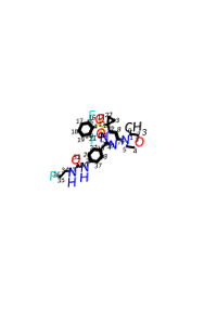 C[C@H]1COCCN1c1cc(C2(S(=O)(=O)c3c(F)cccc3F)CC2)nc(-c2ccc(NC(=O)NCCF)cc2)n1